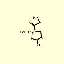 CN1CCN(C(=O)CN)CC1.Cl.Cl